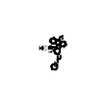 COC1=CC(OCCN2CCCCC2)CC(c2cccc(OC)c2)C1(C=O)c1cccc2ccccc12.Cl